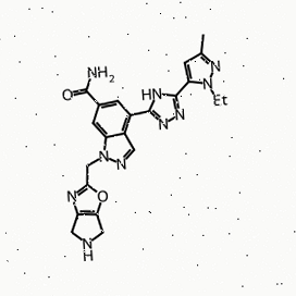 CCn1nc(C)cc1-c1nnc(-c2cc(C(N)=O)cc3c2cnn3Cc2nc3c(o2)CNC3)[nH]1